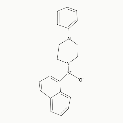 [O-][S+](c1cccc2ccccc12)N1CCN(c2ccccc2)CC1